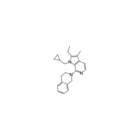 CCc1c(C)c2ccnc(N3CCc4ccccc4C3)c2n1CC1CC1